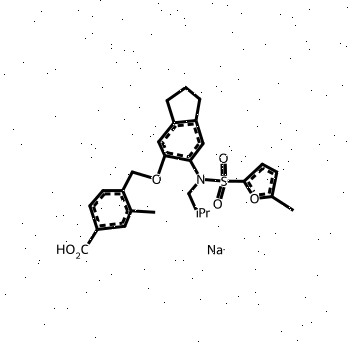 Cc1ccc(S(=O)(=O)N(CC(C)C)c2cc3c(cc2OCc2ccc(C(=O)O)cc2C)CCC3)o1.[Na]